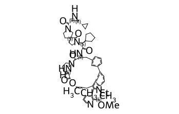 CCn1c(-c2cccnc2[C@H](C)OC)c2c3cc(ccc31)-c1cccc(c1)C[C@H](NC(=O)[C@H](C1CCCC1)N1CC[C@]3(CCN(C(=O)[C@@H]4N[C@@H]4C4CC4)C3)C1=O)C(=O)N1CCC[C@H](N1)C(=O)OCC(C)(C)C2